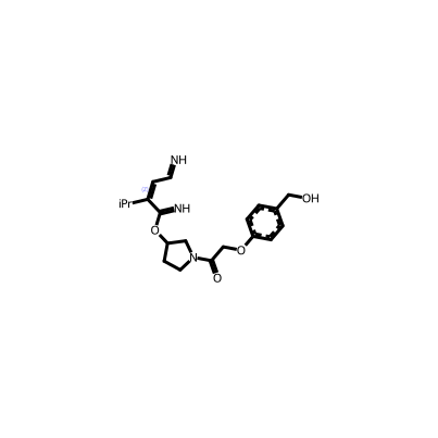 CC(C)/C(=C/C=N)C(=N)OC1CCN(C(=O)COc2ccc(CO)cc2)C1